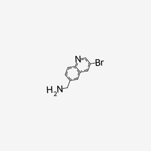 NCc1ccc2ncc(Br)cc2c1